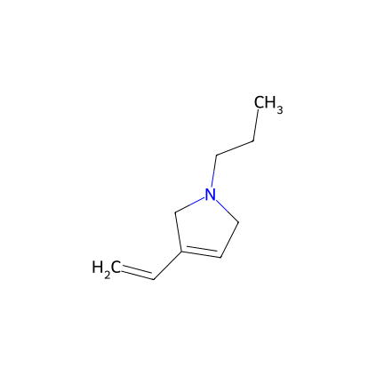 C=CC1=CCN(CCC)C1